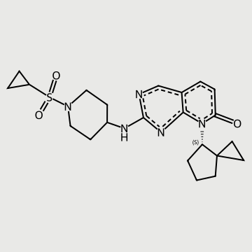 O=c1ccc2cnc(NC3CCN(S(=O)(=O)C4CC4)CC3)nc2n1[C@H]1CCCC12CC2